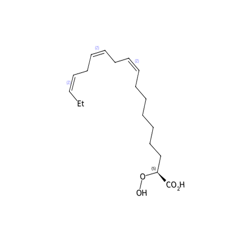 CC/C=C\C/C=C\C/C=C\CCCCCC[C@H](OO)C(=O)O